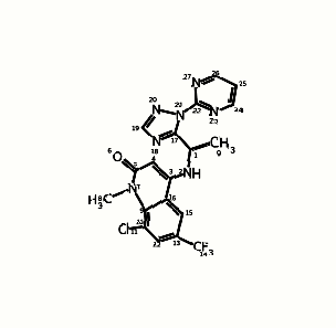 CC(Nc1cc(=O)n(C)c2c(Cl)cc(C(F)(F)F)cc12)c1ncnn1-c1ncccn1